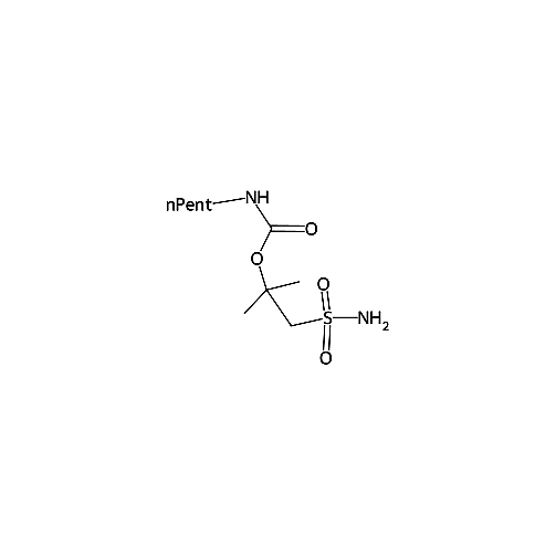 CCCCCNC(=O)OC(C)(C)CS(N)(=O)=O